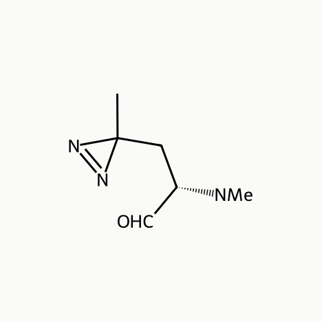 CN[C@H](C=O)CC1(C)N=N1